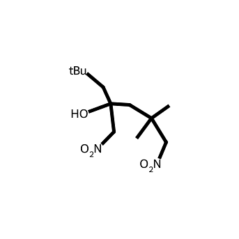 CC(C)(C)CC(O)(C[N+](=O)[O-])CC(C)(C)C[N+](=O)[O-]